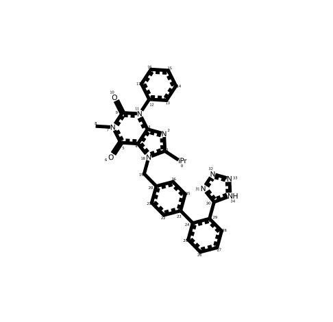 CC(C)c1nc2c(c(=O)n(C)c(=O)n2-c2ccccc2)n1Cc1ccc(-c2ccccc2-c2nnn[nH]2)cc1